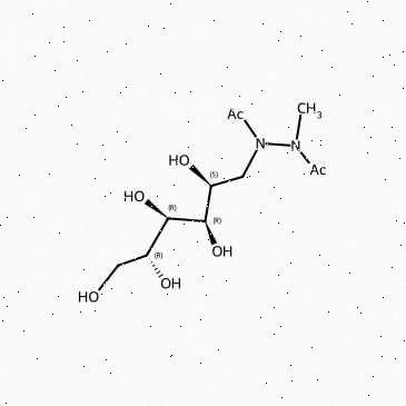 CC(=O)N(C)N(C[C@H](O)[C@@H](O)[C@H](O)[C@H](O)CO)C(C)=O